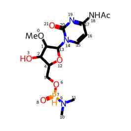 COC1C(O)C(CO[PH](=O)N(C)C)OC1n1ccc(NC(C)=O)nc1=O